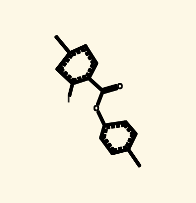 Cc1ccc(OC(=O)c2ccc(C)cc2I)cc1